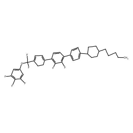 CCCCCC1CCC(c2ccc(-c3ccc(C4=CC=C(C(F)(F)Oc5cc(F)c(F)c(F)c5)CC4)c(F)c3F)cc2)CC1